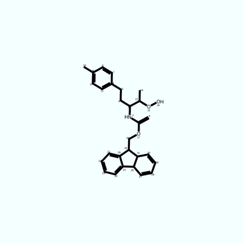 C=C(NC(CCc1ccc(C)cc1)C(C)OO)OCC1c2ccccc2C2C=CC=CC21